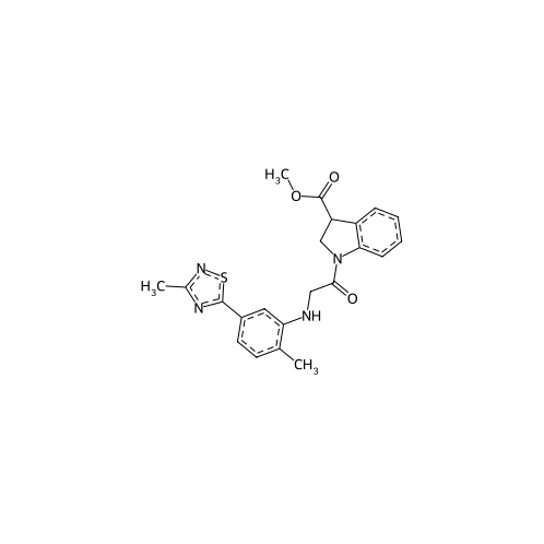 COC(=O)C1CN(C(=O)CNc2cc(-c3nc(C)ns3)ccc2C)c2ccccc21